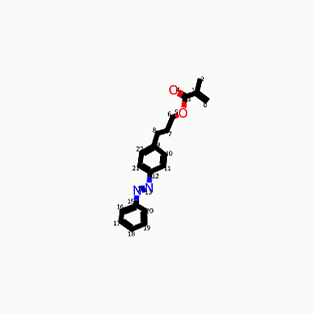 C=C(C)C(=O)OCCCc1ccc(/N=N/c2ccccc2)cc1